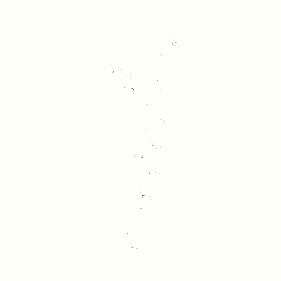 COC(=O)C=CCCC(NC(=O)OC(C)(C)C)C(=O)Nc1cccn(CC(=O)NCCC(C)C)c1=O